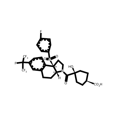 O=C(O)[C@H]1CC[C@](O)(C(=O)N2CC[C@@]3(S(=O)(=O)c4ccc(F)cc4)c4ccc(C(F)(C(F)(F)F)C(F)(F)F)cc4CC[C@@H]23)CC1